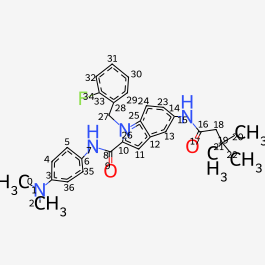 CN(C)c1ccc(NC(=O)c2cc3cc(NC(=O)CC(C)(C)C)ccc3n2Cc2ccccc2F)cc1